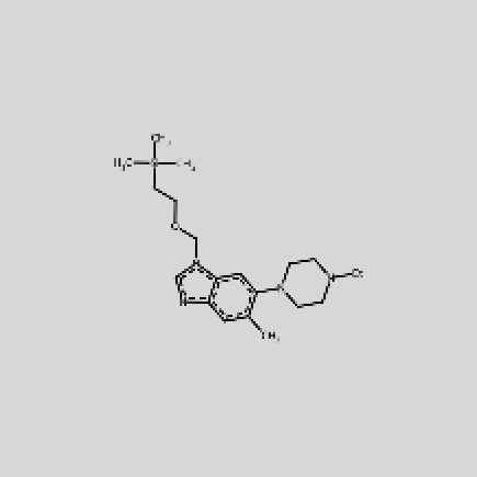 CCN1CCN(c2cc3c(cc2C)ncn3COCC[Si](C)(C)C)CC1